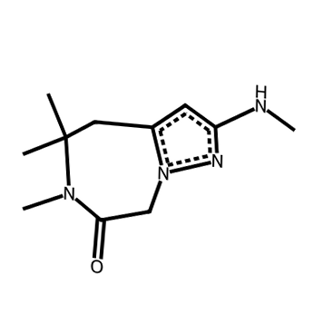 CNc1cc2n(n1)CC(=O)N(C)C(C)(C)C2